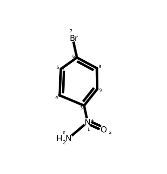 N[N+](=O)c1c[c]c(Br)cc1